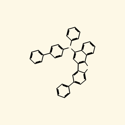 c1ccc(-c2ccc(N(c3ccccc3)c3cc4c5cc(-c6ccccc6)ccc5oc4c4ccccc34)cc2)cc1